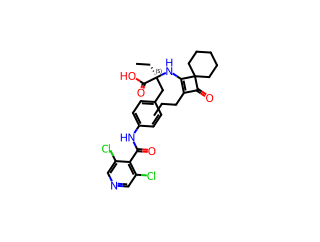 CCCC1=C(N[C@@](CC)(Cc2ccc(NC(=O)c3c(Cl)cncc3Cl)cc2)C(=O)O)C2(CCCCC2)C1=O